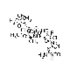 CC(C)OC(=O)[C@H](C)N[P@@](=O)(OCCSC(=O)C(C)(C)C)OC[C@H]1O[C@@H](n2cnc3c(=O)[nH]c(N)nc32)[C@](F)(Cl)[C@@H]1O